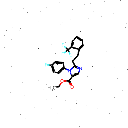 CCOC(=O)c1cnc(CCc2ccccc2C(F)(F)F)n1-c1ccc(F)cc1